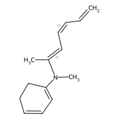 C=C/C=C\C=C(/C)N(C)C1=CC=CCC1